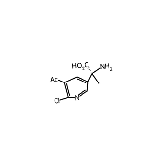 CC(=O)c1cc([C@](C)(N)C(=O)O)cnc1Cl